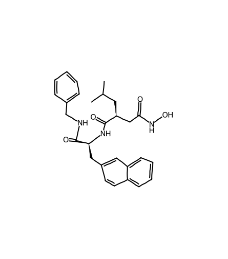 CC(C)C[C@@H](CC(=O)NO)C(=O)N[C@@H](Cc1ccc2ccccc2c1)C(=O)NCc1ccccc1